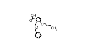 CCCCO[C@H]1C=C[C@@H](C(=O)O)[C@@H]1COCc1ccccc1